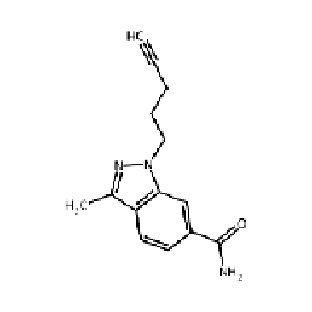 C#CCCCn1nc(C)c2ccc(C(N)=O)cc21